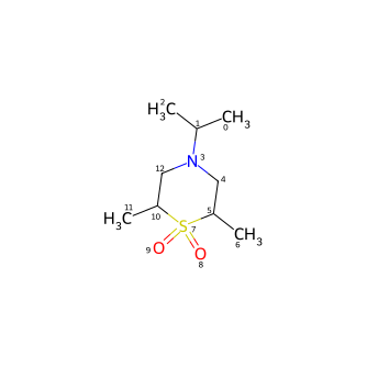 CC(C)N1CC(C)S(=O)(=O)C(C)C1